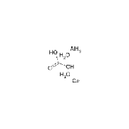 O.O.O=C(O)O.[AlH3].[Cu]